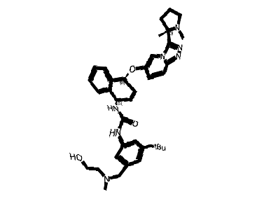 CN(CCO)Cc1cc(NC(=O)N[C@H]2CC[C@@H](Oc3ccc4nnc([C@]5(C)CCCN5C)n4c3)c3ccccc32)cc(C(C)(C)C)c1